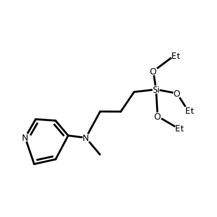 CCO[Si](CCCN(C)c1ccncc1)(OCC)OCC